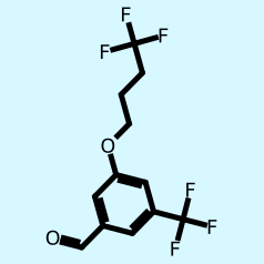 O=Cc1cc(OCCCC(F)(F)F)cc(C(F)(F)F)c1